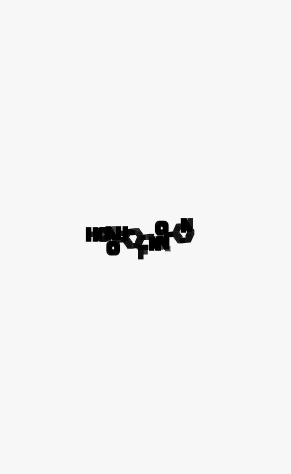 CN(N=Cc1ccc(C(=O)NO)cc1F)C(=O)c1cccnc1